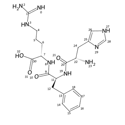 N=C(N)NCCC[C@H](NC(=O)[C@H](Cc1ccccc1)NC(=O)[C@@H](N)Cc1c[nH]cn1)C(=O)O